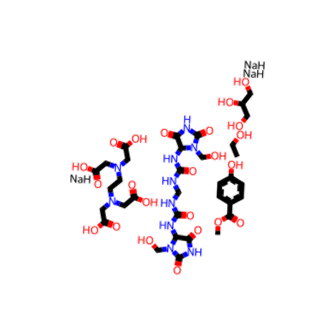 CCO.COC(=O)c1ccc(O)cc1.O=C(NCNC(=O)NC1C(=O)NC(=O)N1CO)NC1C(=O)NC(=O)N1CO.O=C(O)CN(CCN(CC(=O)O)CC(=O)O)CC(=O)O.OCC(O)CO.[NaH].[NaH].[NaH]